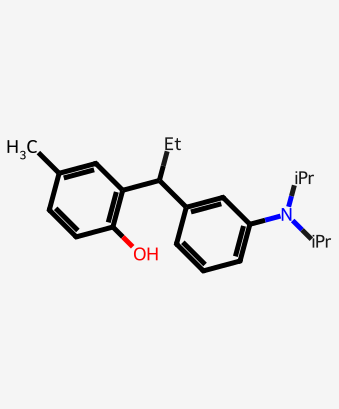 CCC(c1cccc(N(C(C)C)C(C)C)c1)c1cc(C)ccc1O